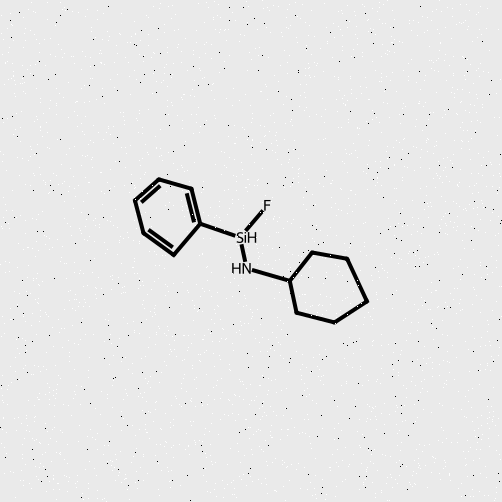 F[SiH](NC1CCCCC1)c1ccccc1